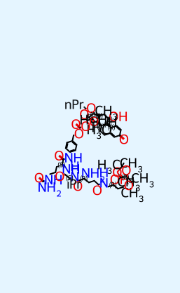 CCCC1O[C@@H]2C[C@H]3[C@@H]4CCC5=CC(=O)C=C[C@]5(C)[C@H]4[C@@H](O)C[C@]3(C)[C@]2(C(=O)COC(=O)OCc2ccc(NC(=O)[C@H](CCCNC(N)=O)NC(=O)[C@@H](NC(=O)[C@H](N)CCC(=O)NC[C@H](O)CC(C)(C)O[C@@H](C)[C@H]3COC(C)(C)O3)C(C)C)cc2)O1